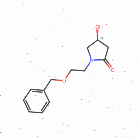 O=C1C[C@H](O)CN1CCOCc1ccccc1